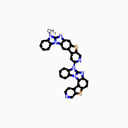 Cn1c2ccccc2n2c3cc4c(cc3nc12)sc1cnc(-n2c3ccccc3n3c5c(ccc6sc7cnccc7c65)nc23)cc14